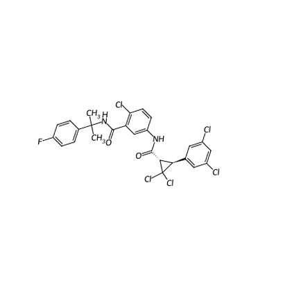 CC(C)(NC(=O)c1cc(NC(=O)[C@@H]2[C@@H](c3cc(Cl)cc(Cl)c3)C2(Cl)Cl)ccc1Cl)c1ccc(F)cc1